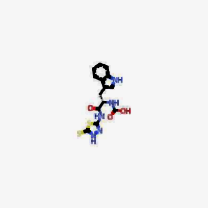 O=C(O)N[C@@H](Cc1c[nH]c2ccccc12)C(=O)Nc1n[nH]c(=S)s1